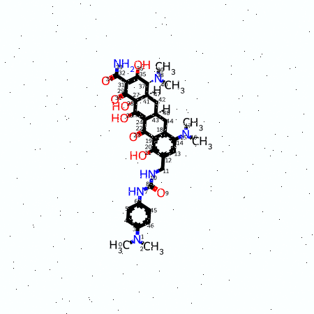 CN(C)c1ccc(NC(=O)NCc2cc(N(C)C)c3c(c2O)C(=O)C2=C(O)[C@@]4(O)C(=O)C(C(N)=O)=C(O)[C@H](N(C)C)[C@H]4C[C@H]2C3)cc1